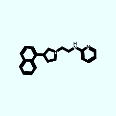 c1ccc(NCCN2CCC(c3cccc4ccccc34)C2)nc1